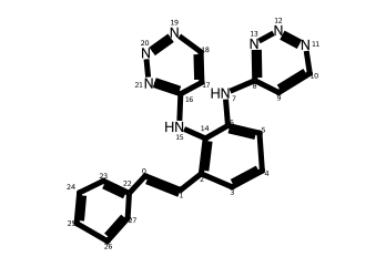 C(=Cc1cccc(Nc2ccnnn2)c1Nc1ccnnn1)c1ccccc1